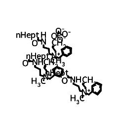 C=CC[N+](C)(CCCNC(=O)CCCCCCC)Cc1ccccc1.C=CC[N+](C)(CCCNC(=O)CCCCCCC)Cc1ccccc1.C=CC[N+](C)(CCCNC(=O)CCCCCCC)Cc1ccccc1.O=P([O-])([O-])[O-]